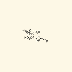 CC(C)(C)OC(=O)N[C@H](C[C@H](Cc1ccc(CCCF)cn1)C(=O)O)C(=O)O